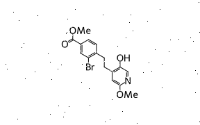 COC(=O)c1ccc(CCc2cc(OC)ncc2O)c(Br)c1